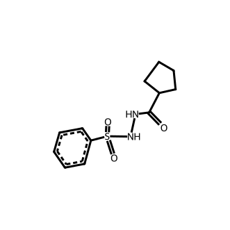 O=C(NNS(=O)(=O)c1ccccc1)C1CCCC1